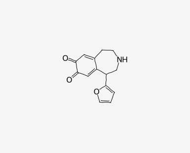 O=C1C=C2CCNCC(c3ccco3)C2=CC1=O